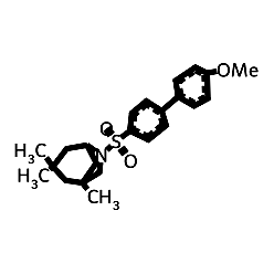 COc1ccc(-c2ccc(S(=O)(=O)N3CC4(C)CC3CC(C)(C)C4)cc2)cc1